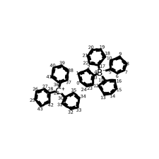 c1ccc([B-](c2ccccc2)(c2ccccc2)c2ccccc2)cc1.c1ccc([C+](c2ccccc2)c2ccccc2)cc1